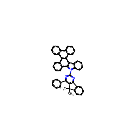 CC1(C)c2ccccc2-c2nc(-n3c4ccccc4c4c5c6ccccc6c6ccccc6c5c5ccccc5c43)nc(-c3ccccc3)c21